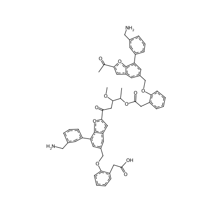 COC(CC(=O)c1cc2cc(COc3ccccc3CC(=O)O)cc(-c3cccc(CN)c3)c2o1)C(C)OC(=O)Cc1ccccc1OCc1cc(-c2cccc(CN)c2)c2oc(C(C)=O)cc2c1